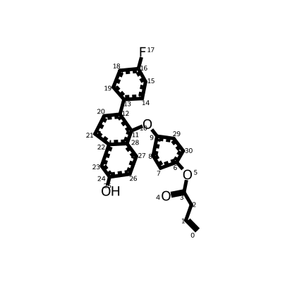 C=CCC(=O)Oc1ccc(Oc2c(-c3ccc(F)cc3)ccc3cc(O)ccc23)cc1